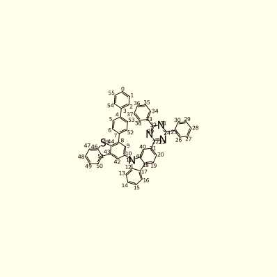 c1ccc(-c2ccc(-c3cc(-n4c5ccccc5c5ccc(-c6nc(-c7ccccc7)nc(-c7ccccc7)n6)cc54)cc4c3sc3ccccc34)cc2)cc1